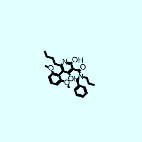 CCCCc1nc(O)c(C(=O)N(CCC)Cc2ccccc2)c(O)c1-c1c(OC)cccc1OC